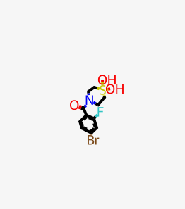 O=C(c1ccc(Br)cc1F)N1CCS(O)(O)CC1